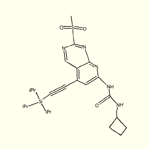 CC(C)[Si](C#Cc1cc(NC(=O)NC2CCC2)nc2nc(S(C)(=O)=O)ncc12)(C(C)C)C(C)C